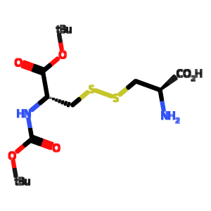 CC(C)(C)OC(=O)N[C@@H](CSSC[C@H](N)C(=O)O)C(=O)OC(C)(C)C